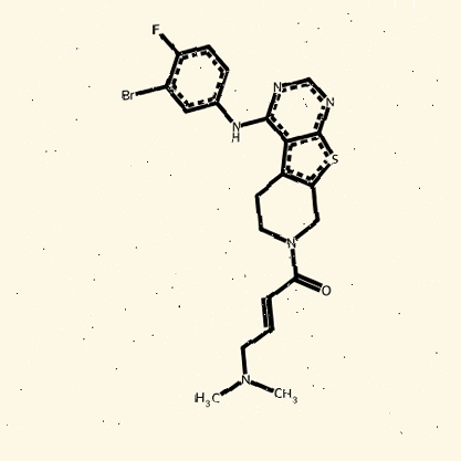 CN(C)C/C=C/C(=O)N1CCc2c(sc3ncnc(Nc4ccc(F)c(Br)c4)c23)C1